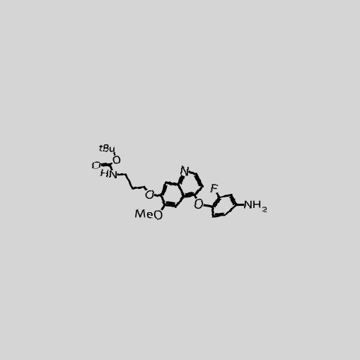 COc1cc2c(Oc3ccc(N)cc3F)ccnc2cc1OCCCNC(=O)OC(C)(C)C